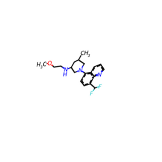 COCCNC1CC(C)CN(c2ccc(C(F)F)c3ncccc23)C1